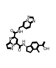 C=C(O)c1ccc2c(c1C)CC[C@@H]2NC(=O)c1cc(C(=O)NCc2ccc3ncnn3c2)nc2ccnn12